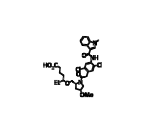 CCC(CCCC(=O)O)OC[C@@H]1C[C@H](OC)CN1C(=O)Cc1cc(Cl)c(NC(=O)c2cn(C)c3ccccc23)cc1Cl